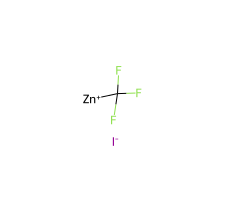 F[C](F)(F)[Zn+].[I-]